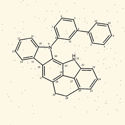 c1ccc(-c2cccc(-n3c4ccccc4c4cc5c6c([nH]c7cccc(c76)CC5)c43)c2)cc1